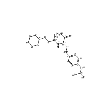 NC(=O)[C@H](CNc1ccc(OC(F)F)cc1)NC(=O)[CH]CC1CCCCC1